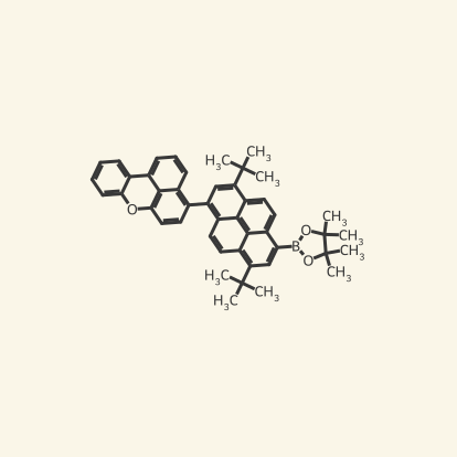 CC(C)(C)c1cc(B2OC(C)(C)C(C)(C)O2)c2ccc3c(C(C)(C)C)cc(-c4ccc5c6c(cccc46)-c4ccccc4O5)c4ccc1c2c43